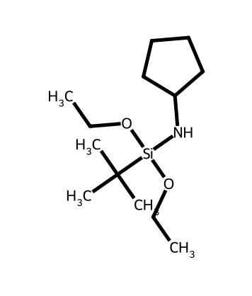 CCO[Si](NC1CCCC1)(OCC)C(C)(C)C